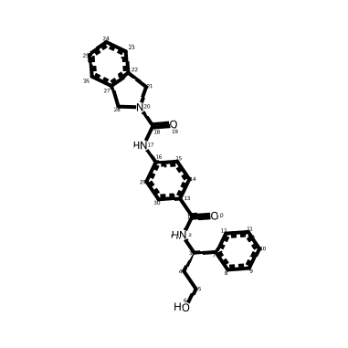 O=C(N[C@H](CCO)c1ccccc1)c1ccc(NC(=O)N2Cc3ccccc3C2)cc1